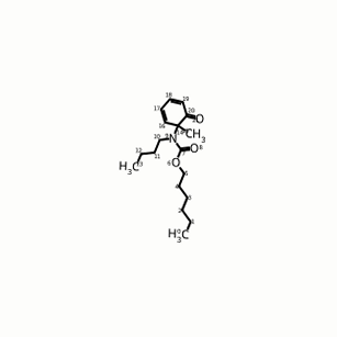 CCCCCCOC(=O)N(CCCC)C1(C)C=CC=CC1=O